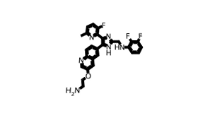 Cc1ccc(F)c(-c2nc(CNc3cccc(F)c3F)[nH]c2-c2ccc3ncc(OCCN)cc3c2)n1